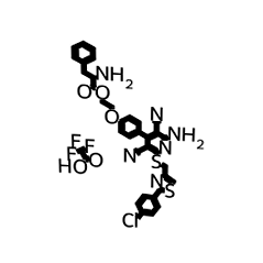 N#Cc1c(N)nc(SCc2csc(-c3ccc(Cl)cc3)n2)c(C#N)c1-c1ccc(OCCOC(=O)[C@@H](N)Cc2ccccc2)cc1.O=C(O)C(F)(F)F